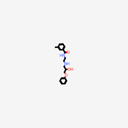 Cc1cccc(C(=O)NCCNCC(O)COc2ccccc2)c1